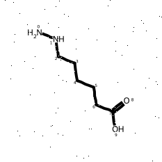 NNCCCCCC(=O)O